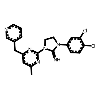 Cc1cc(Cc2cccnc2)nc(N2CCN(c3ccc(Cl)c(Cl)c3)C2=N)n1